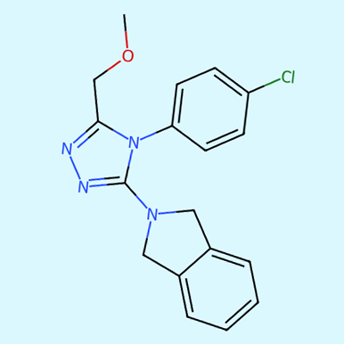 COCc1nnc(N2Cc3ccccc3C2)n1-c1ccc(Cl)cc1